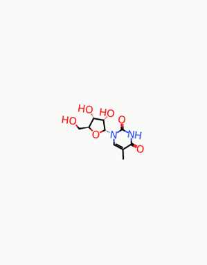 Cc1cn([C@@H]2O[C@@H](CO)[C@H](O)[C@@H]2O)c(=O)[nH]c1=O